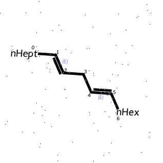 [CH2]CCCCCC/C=C/C/C=C/CCCCCC